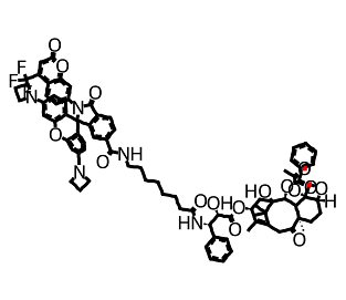 CC(=O)O[C@@]12CO[C@@H]1CC[C@@]1(C)C(=O)CC3=C(C)[C@@H](OC(=O)[C@H](O)[C@@H](NC(=O)CCCCCCCNC(=O)c4ccc5c(c4)C4(c6ccc(N7CCC7)cc6Oc6cc(N7CCC7)ccc64)N(c4ccc6c(C(F)(F)F)cc(=O)oc6c4)C5=O)c4ccccc4)CC(O)([C@@H](OC(=O)c4ccccc4)C12)C3(C)C